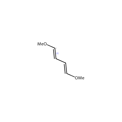 CO/[C]=C/C=COC